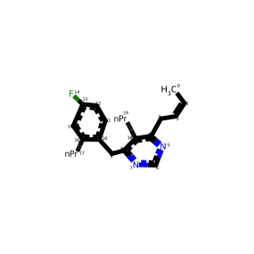 C/C=C\Cc1ncnc(Cc2ccc(F)cc2CCC)c1CCC